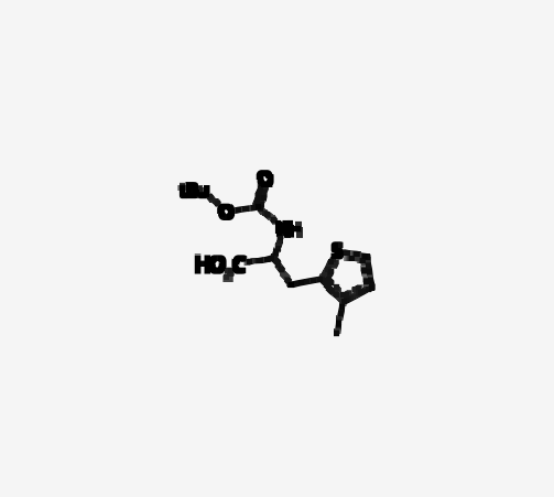 Cc1ccsc1CC(NC(=O)OC(C)(C)C)C(=O)O